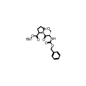 CC(=O)OC[C@H](NC(=O)OCc1ccccc1)C(=O)N1CCCC1C(=O)OC(C)(C)C